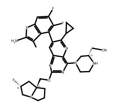 Cc1c(N)sc2cc(F)c(F)c(-c3cc4nc(OC[C@@]56CCCN5C[C@H](F)C6)nc(N5CCN[C@@H](CC#N)C5)c4nc3C3CC3)c12